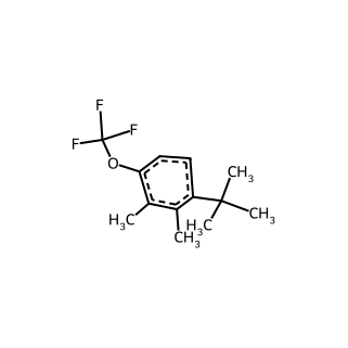 Cc1c(OC(F)(F)F)ccc(C(C)(C)C)c1C